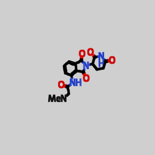 CNCC(=O)Nc1cccc2c1C(=O)N(C1CCC(=O)NC1=O)C2=O